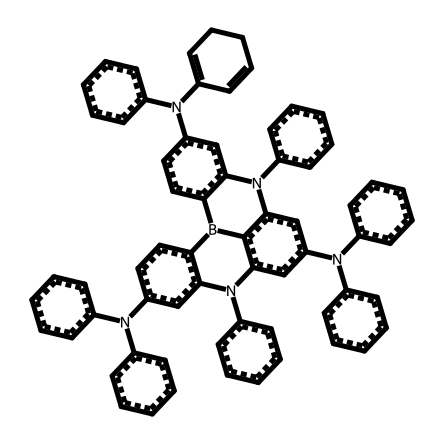 C1=CC(N(c2ccccc2)c2ccc3c(c2)N(c2ccccc2)c2cc(N(c4ccccc4)c4ccccc4)cc4c2B3c2ccc(N(c3ccccc3)c3ccccc3)cc2N4c2ccccc2)=CCC1